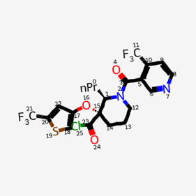 CCC[C@H]1N(C(=O)c2cnccc2C(F)(F)F)CCC[C@@]1(Oc1csc(C(F)(F)F)c1)C(=O)Cl